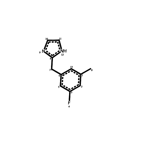 Cc1cc(F)cc([C]c2ncc[nH]2)c1